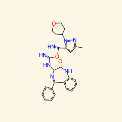 Cc1cc(C(=N)OC(=N)NC2N=C(c3ccccc3)c3ccccc3NC2=O)n(C2CCOCC2)n1